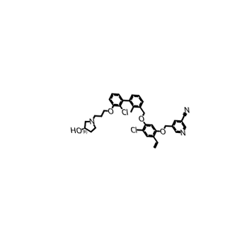 C=Cc1cc(Cl)c(OCc2cccc(-c3cccc(OCCCN4CC[C@@H](O)C4)c3Cl)c2C)cc1OCc1cncc(C#N)c1